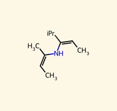 C/C=C(/C)N/C(=C\C)C(C)C